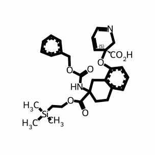 C[Si](C)(C)CCOC(=O)C1(NC(=O)OCc2ccccc2)CCc2cccc(O[C@@]3(C(=O)O)C=CC=NC3)c2C1